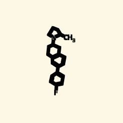 CC1CCCN1C1CCc2cc(-c3ccc(F)cc3)ccc2C1